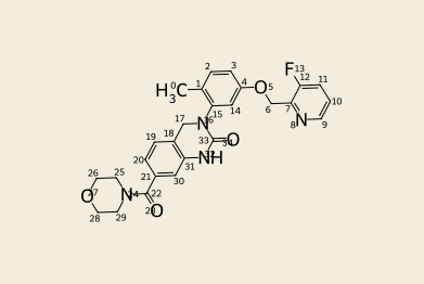 Cc1ccc(OCc2ncccc2F)cc1N1Cc2ccc(C(=O)N3CCOCC3)cc2NC1=O